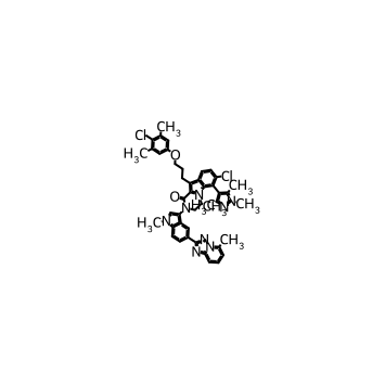 Cc1cc(OCCCc2c3n(c4c(-c5c(C)nn(C)c5C)c(Cl)ccc24)C(C)CN(c2cn(C)c4ccc(-c5nc6cccc(C)n6n5)cc24)C3=O)cc(C)c1Cl